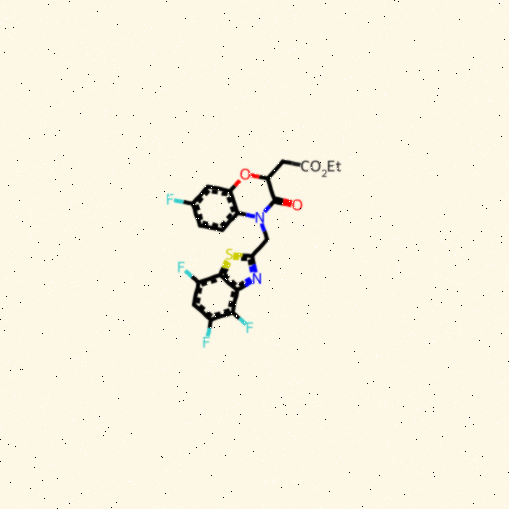 CCOC(=O)CC1Oc2cc(F)ccc2N(Cc2nc3c(F)c(F)cc(F)c3s2)C1=O